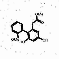 COC(=O)Cc1cc(O)cc(O)c1-c1ccccc1OC